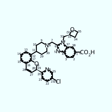 O=C(O)c1ccc2nc(CN3CCC(c4cccc5c4O[C@@H](c4ccc(Cl)cn4)C=C5)CC3)n(C[C@@H]3CCO3)c2c1